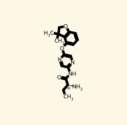 CC[C@@H](N)C(=O)Nc1cnc(Oc2cccc3c2C(C)(C)CO3)cn1